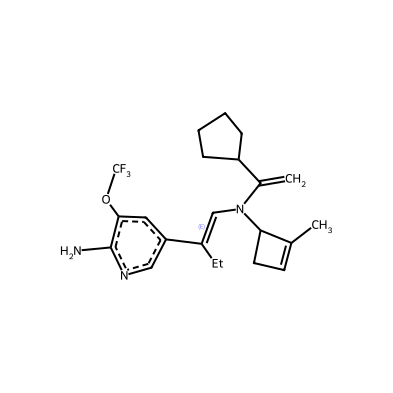 C=C(C1CCCC1)N(/C=C(\CC)c1cnc(N)c(OC(F)(F)F)c1)C1CC=C1C